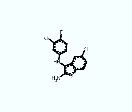 Nc1sc2ccc(Cl)cc2c1Nc1ccc(F)c(Cl)c1